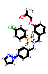 CC(=O)COc1cccc(CN(Cc2ccc(-n3cccn3)cc2)S(=O)(=O)c2ccc(Cl)cc2)c1